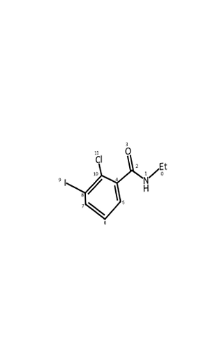 CCNC(=O)c1cccc(I)c1Cl